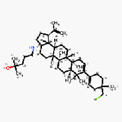 C=C(C)[C@@H]1CC[C@]2(NCCCC(C)(C)O)CC[C@]3(C)[C@H](CC[C@@H]4[C@@]5(C)CC=C(C6=CCC(CF)(C(=O)O)CC6)C(C)(C)[C@@H]5CC[C@]43C)[C@@H]12